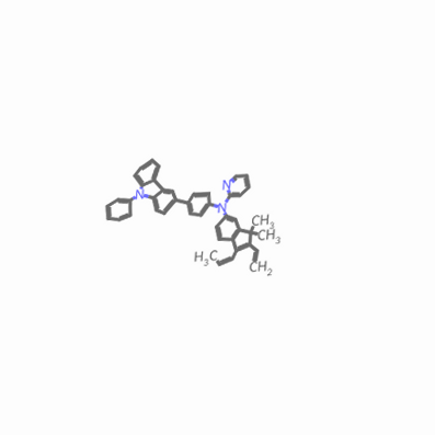 C=CC1=C(/C=C\C)c2ccc(N(c3ccc(-c4ccc5c(c4)c4ccccc4n5-c4ccccc4)cc3)c3ccccn3)cc2C1(C)C